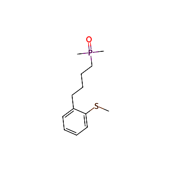 CSc1ccccc1CCCCP(C)(C)=O